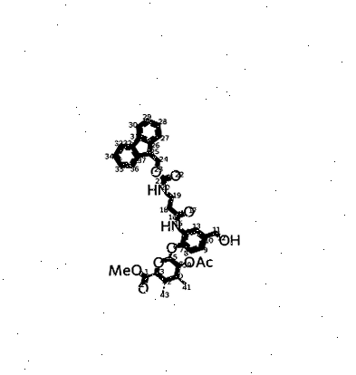 COC(=O)[C@H]1O[C@@H](Oc2ccc(CO)cc2NC(=O)CCNC(=O)OCC2c3ccccc3-c3ccccc32)[C@H](OC(C)=O)[C@@H](C)[C@@H]1C